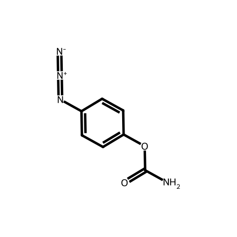 [N-]=[N+]=Nc1ccc(OC(N)=O)cc1